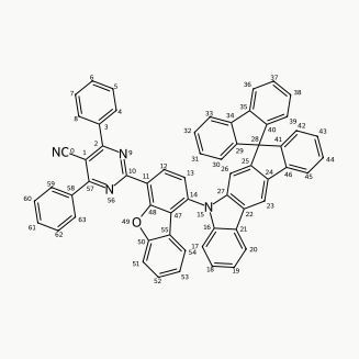 N#Cc1c(-c2ccccc2)nc(-c2ccc(-n3c4ccccc4c4cc5c(cc43)C3(c4ccccc4-c4ccccc43)c3ccccc3-5)c3c2oc2ccccc23)nc1-c1ccccc1